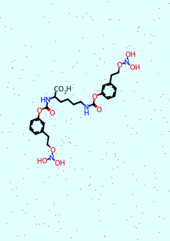 O=C(NCCCCC(NC(=O)Oc1cccc(CCON(O)O)c1)C(=O)O)Oc1cccc(CCON(O)O)c1